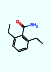 CCc1cccc(CC)c1C(N)=O